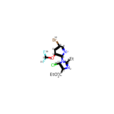 CCOC(=O)c1nc(CC)n(-c2ncc(Br)cc2OC(F)F)c1Cl